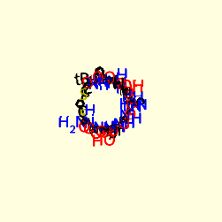 CC(C)[C@]1(C)NC(=O)[C@H](Cc2ccc(O)cc2)NC(=O)[C@H](C)NC(=O)C(C)(C)NC(=O)[C@H](Cc2c[nH]c3ncccc23)NC(=O)[C@H]([C@@H](C)O)NC(=O)[C@@H]2CCCN2C(=O)[C@H](Cc2ccccc2)NC(=O)C(C(C)(C)C)NC(=O)CCSCc2cccc(c2)CSC[C@H](C(N)=O)NC(=O)C([C@H](C)O)NC1=O